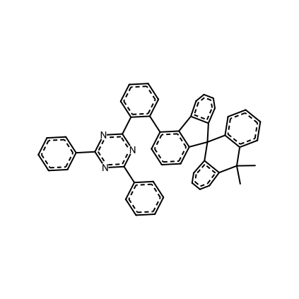 CC1(C)c2ccccc2C2(c3ccccc3-c3c(-c4ccccc4-c4nc(-c5ccccc5)nc(-c5ccccc5)n4)cccc32)c2ccccc21